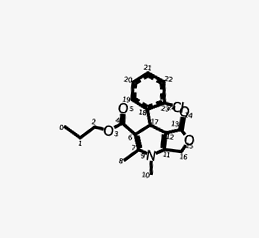 CCCOC(=O)C1=C(C)N(C)C2=C(C(=O)OC2)C1c1ccccc1Cl